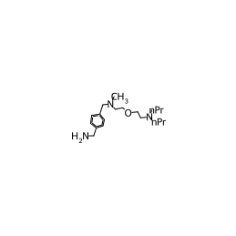 CCCN(CCC)CCOCCN(C)Cc1ccc(CN)cc1